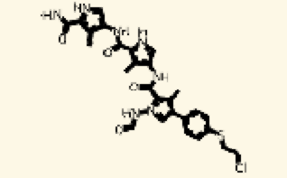 Cc1c(NC(=O)c2[nH]cc(NC(=O)c3c(C)c(-c4ccc(SCCCl)cc4)cn3NC=O)c2C)c[nH]c1C([NH])=O